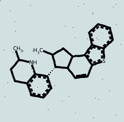 CC1CCc2cccc([C@@H]3C(C)CC4c5c(sc6ccccc56)C=CC43)c2N1